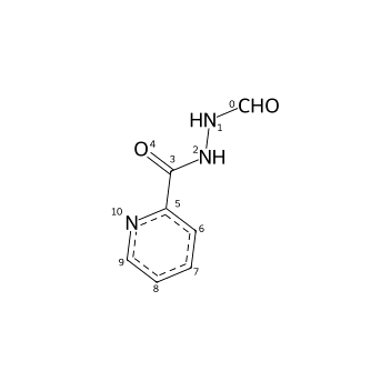 O=CNNC(=O)c1ccccn1